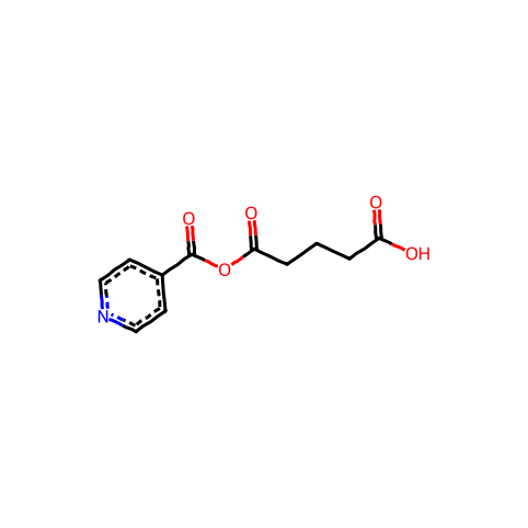 O=C(O)CCCC(=O)OC(=O)c1ccncc1